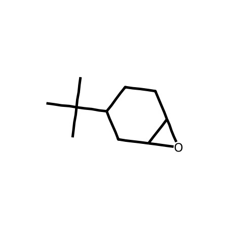 CC(C)(C)C1CCC2OC2C1